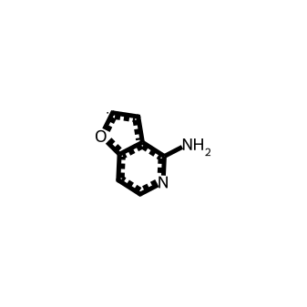 Nc1nccc2o[c]cc12